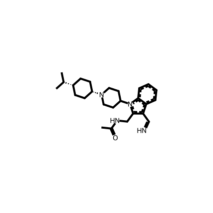 CC(=O)NCc1c(C=N)c2ccccc2n1C1CCN([C@H]2CC[C@@H](C(C)C)CC2)CC1